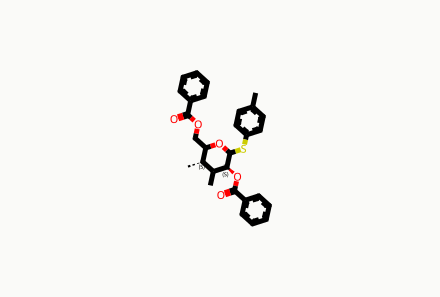 Cc1ccc(SC2OC(COC(=O)c3ccccc3)[C@@H](C)C(C)[C@@H]2OC(=O)c2ccccc2)cc1